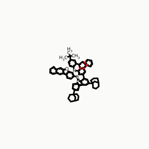 CC(C)(C)c1ccc(N2c3cc(-c4ccccc4)cc4c3B(c3ccc5c(oc6cc7ccccc7cc65)c32)n2c3ccc(C56CCCC(CCC5)C6)cc3c3cc(C56CCCC(CCC5)C6)cc-4c32)c(-c2ccccc2)c1